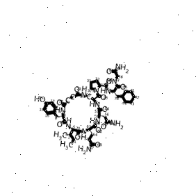 CC[C@H](C)[C@@H]1NC(=O)[C@H](Cc2ccc(O)cc2)NC(=O)CCC(=O)NC[C@@H](C(=O)N2CCC[C@H]2C(=O)N[C@@H](CC2CCCCC2)C(=O)NCC(N)=O)NC(=O)[C@H](CC(N)=O)NC(=O)[C@H](CCC(N)=O)NC1=O